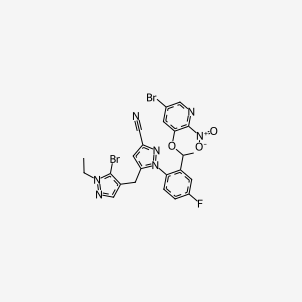 CCn1ncc(Cc2cc(C#N)nn2-c2ccc(F)cc2C(C)Oc2cc(Br)cnc2[N+](=O)[O-])c1Br